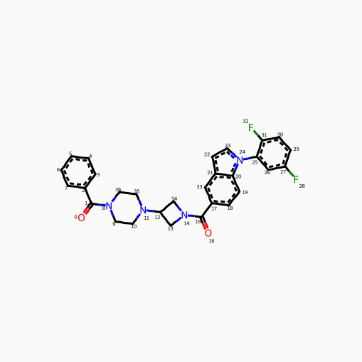 O=C(c1ccccc1)N1CCN(C2CN(C(=O)c3ccc4c(ccn4-c4cc(F)ccc4F)c3)C2)CC1